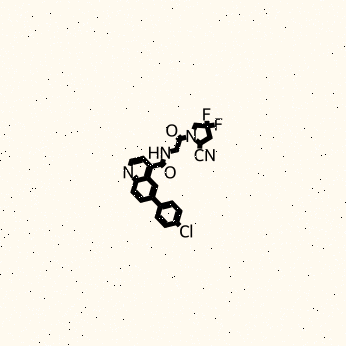 N#CC1CC(F)(F)CN1C(=O)CNC(=O)c1ccnc2ccc(-c3ccc(Cl)cc3)cc12